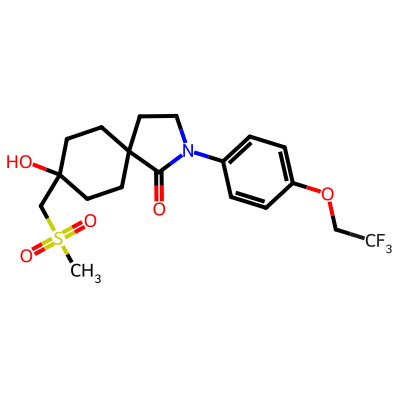 CS(=O)(=O)CC1(O)CCC2(CCN(c3ccc(OCC(F)(F)F)cc3)C2=O)CC1